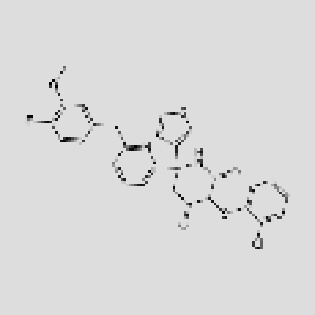 COc1cc(Cc2cccc(C3(c4ccsc4)CC(=O)C(Sc4ccccc4Cl)C(=O)N3)n2)ccc1F